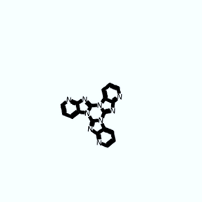 c1cnc2nc3n(c2c1)c1nc2ncccc2n1c1nc2ncccc2n31